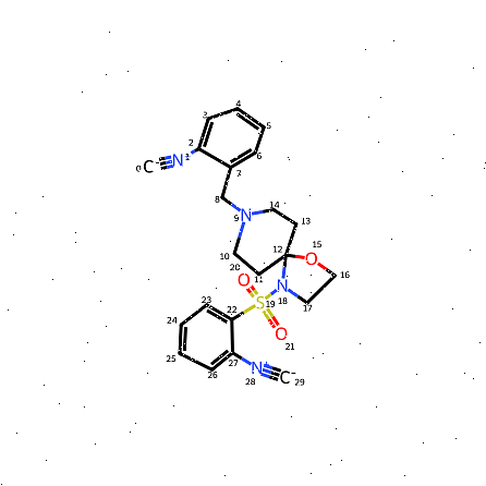 [C-]#[N+]c1ccccc1CN1CCC2(CC1)OCCN2S(=O)(=O)c1ccccc1[N+]#[C-]